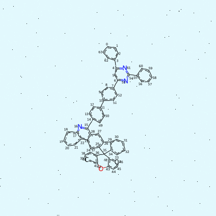 c1ccc(-c2cc(-c3ccc(-c4ccc(-c5nc6ccccc6c6cc7c(cc56)-c5ccccc5C75c6ccccc6Oc6ccccc65)cc4)cc3)nc(-c3ccccc3)n2)cc1